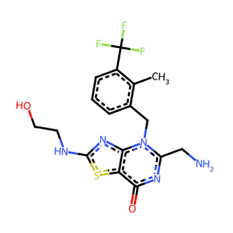 Cc1c(Cn2c(CN)nc(=O)c3sc(NCCO)nc32)cccc1C(F)(F)F